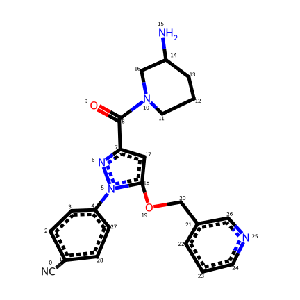 N#Cc1ccc(-n2nc(C(=O)N3CCCC(N)C3)cc2OCc2cccnc2)cc1